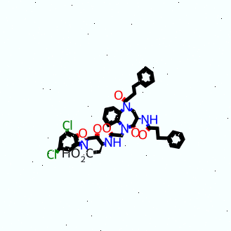 O=C(O)C[C@H](NC(=O)CN1C(=O)[C@@H](NC(=O)CCc2ccccc2)CN(C(=O)CCc2ccccc2)c2ccccc21)C(=O)c1nc2cc(Cl)cc(Cl)c2o1